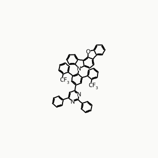 FC(F)(F)c1ccccc1-c1cc(-c2cc(-c3ccccc3)nc(-c3ccccc3)n2)cc(-c2ccccc2C(F)(F)F)c1-n1c2ccccc2c2c3oc4ccccc4c3ccc21